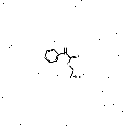 CCCCCCCSC(=O)Nc1ccccc1